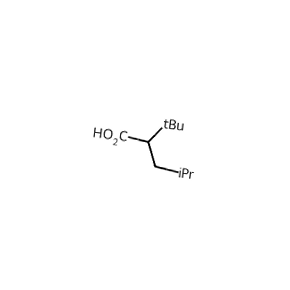 CC(C)CC(C(=O)O)C(C)(C)C